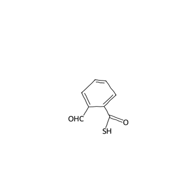 O=Cc1ccccc1C(=O)S